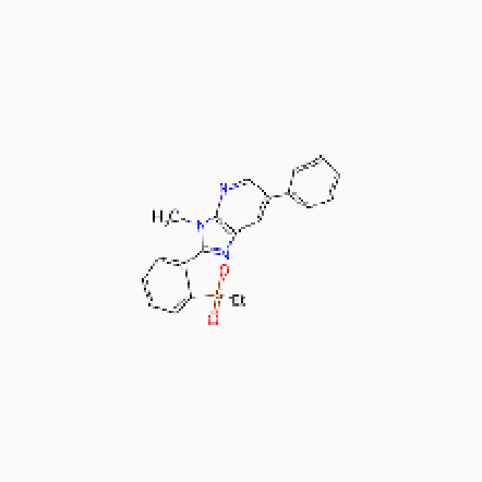 CCS(=O)(=O)c1ccccc1-c1nc2cc(-c3ccccc3)cnc2n1C